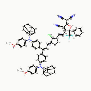 COc1ccc(N(c2ccc(C(=C/C=C3\CCC(/C=C/C4=C(C#N)C(=C(C#N)C#N)OC4(c4ccccc4)C(F)(F)F)=C3Cl)c3ccc(N(c4ccc(OC)cc4)C4C5CC6CC(C5)CC4C6)cc3)cc2)C2C3CC4CC(C3)CC2C4)cc1